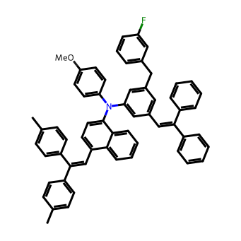 COc1ccc(N(c2cc(C=C(c3ccccc3)c3ccccc3)cc(Cc3cccc(F)c3)c2)c2ccc(C=C(c3ccc(C)cc3)c3ccc(C)cc3)c3ccccc23)cc1